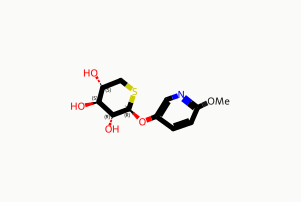 COc1ccc(O[C@@H]2SC[C@@H](O)[C@H](O)[C@H]2O)cn1